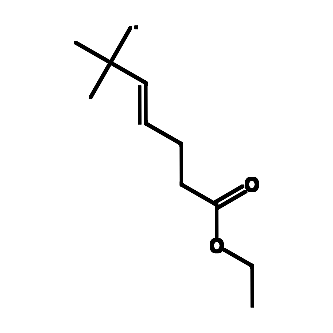 [CH2]C(C)(C)C=CCCC(=O)OCC